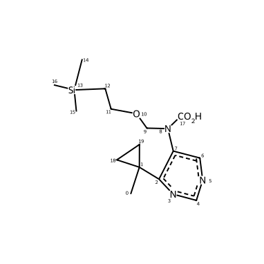 CC1(c2ncncc2N(COCC[Si](C)(C)C)C(=O)O)CC1